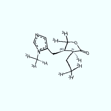 [2H]C([2H])([2H])C[C@]1([2H])C(=O)OC([2H])([2H])[C@@H]1Cc1cncn1C([2H])([2H])[2H]